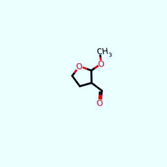 COC1OCCC1C=O